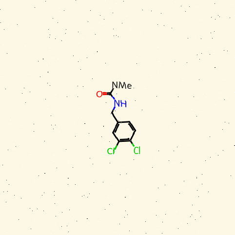 CNC(=O)NCc1ccc(Cl)c(Cl)c1